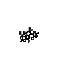 CC(=O)Oc1c(F)cc(/C=C2/N=C(C)OC2=O)cc1F.NCCN